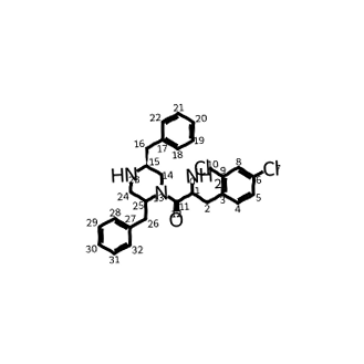 NC(Cc1ccc(Cl)cc1Cl)C(=O)N1C[C@H](Cc2ccccc2)NCC1Cc1ccccc1